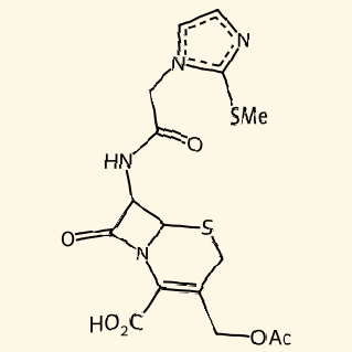 CSc1nccn1CC(=O)NC1C(=O)N2C(C(=O)O)=C(COC(C)=O)CSC12